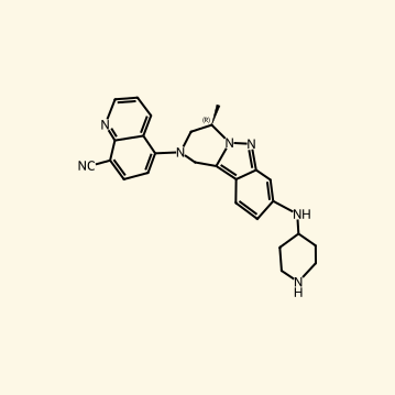 C[C@@H]1CN(c2ccc(C#N)c3ncccc23)Cc2c3ccc(NC4CCNCC4)cc3nn21